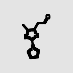 Cc1nc(-n2cccc2)sc1CC=O